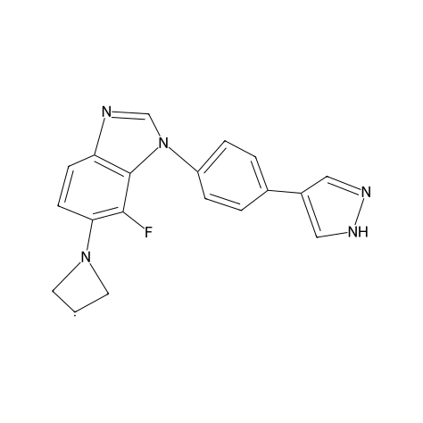 Fc1c(N2C[CH]C2)ccc2ncn(-c3ccc(-c4cn[nH]c4)cc3)c12